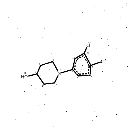 OC1CCN(c2ccc(Cl)c(Cl)c2)CC1